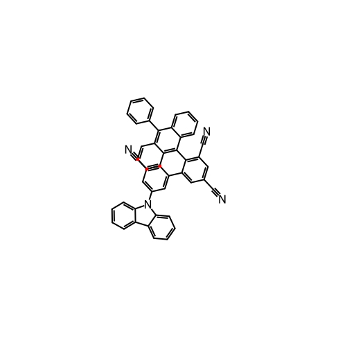 N#Cc1cc(-c2cc(C#N)cc(C#N)c2-c2c3ccccc3c(-c3ccccc3)c3ccccc23)cc(-n2c3ccccc3c3ccccc32)c1